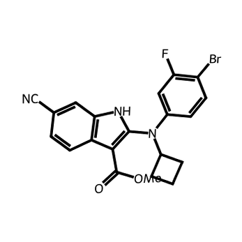 COC(=O)c1c(N(c2ccc(Br)c(F)c2)C2CCC2)[nH]c2cc(C#N)ccc12